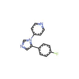 Fc1ccc(-c2cncn2-c2ccncc2)cc1